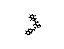 C/C=C(\N/N=C/c1ccc2ccccc2c1)C(=O)N/N=C/c1ccccc1O